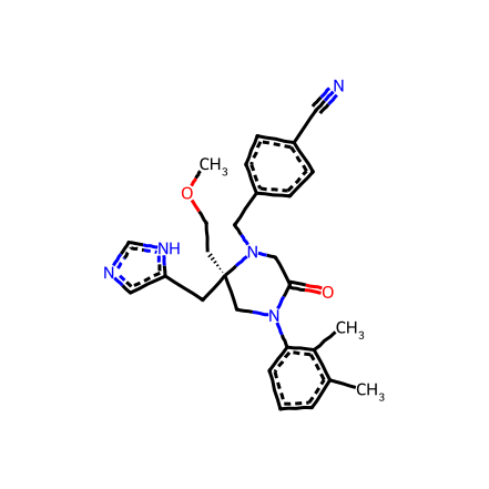 COCC[C@@]1(Cc2cnc[nH]2)CN(c2cccc(C)c2C)C(=O)CN1Cc1ccc(C#N)cc1